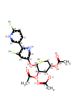 CC(=O)O[C@@H]1[C@@H](OC(C)=O)[C@@H](Oc2cnc(-c3ccc(F)nc3)c(F)c2)SC[C@H]1OC(C)=O